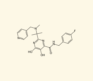 CN(Cc1ccncc1)C(C)(C)c1nc(O)c(O)c(C(=O)NCc2ccc(F)cc2)n1